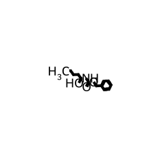 CCCCC(O)NC(=O)OCc1ccccc1